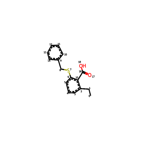 CCc1cccc(SCc2ccccc2)c1C(=O)O